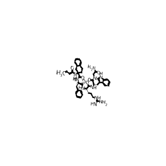 CCCC(=O)NC1(C(=O)N[C@H](Cc2ccccc2)C(=O)N[C@@H](CCCNC(=N)N)C(=O)N[C@@H](Cc2c[nH]c3ccccc23)C(=O)NCC(N)=O)CCc2ccccc2C1